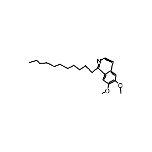 CCCCCCCCCCCc1nccc2cc(OC)c(OC)cc12